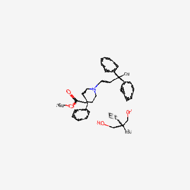 CCCCC(CC)(CO)CO.CCCCOC(=O)C1(c2ccccc2)CCN(CCC(C#N)(c2ccccc2)c2ccccc2)CC1